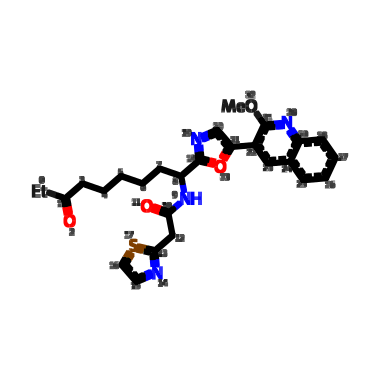 CCC(=O)CCCCCC(NC(=O)Cc1nccs1)c1ncc(-c2cc3ccccc3nc2OC)o1